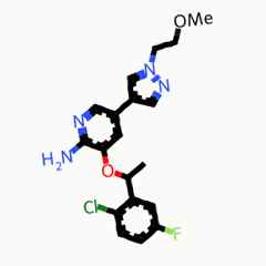 COCCn1cc(-c2cnc(N)c(OC(C)c3cc(F)ccc3Cl)c2)cn1